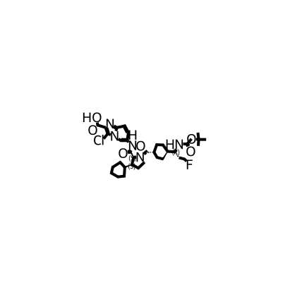 CC(C)(C)OC(=O)N[C@H](CCF)[C@H]1CC[C@H](C(=O)N2CC[C@@H](C3CCCCC3)[C@H]2C(=O)Nc2ccc3nc(C(=O)O)c(Cl)n3c2)CC1